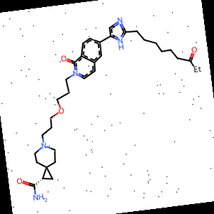 CCC(=O)CCCCCCc1ncc(-c2ccc3c(=O)n(CCCOCCCN4CCC5(CC4)C[C@@H]5C(N)=O)ccc3c2)[nH]1